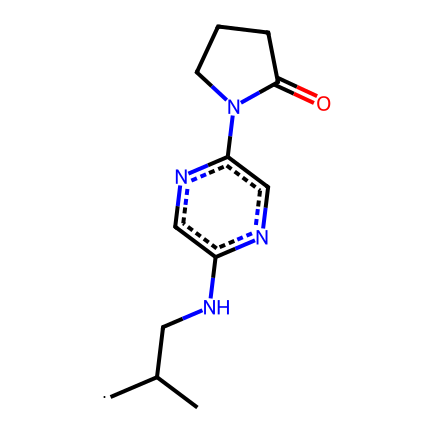 [CH2]C(C)CNc1cnc(N2CCCC2=O)cn1